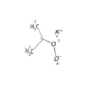 CC(C)O[O-].[K+]